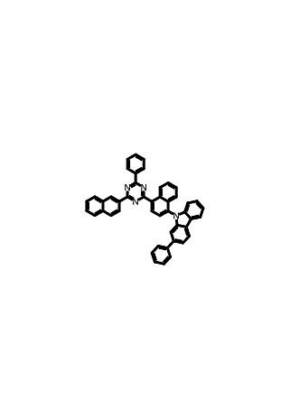 c1ccc(-c2ccc3c4ccccc4n(-c4ccc(-c5nc(-c6ccccc6)nc(-c6ccc7ccccc7c6)n5)c5ccccc45)c3c2)cc1